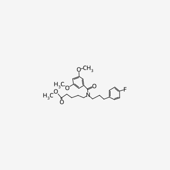 COC(=O)CCCCN(CCCc1ccc(F)cc1)C(=O)c1cc(OC)cc(OC)c1